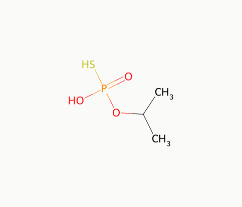 CC(C)OP(=O)(O)S